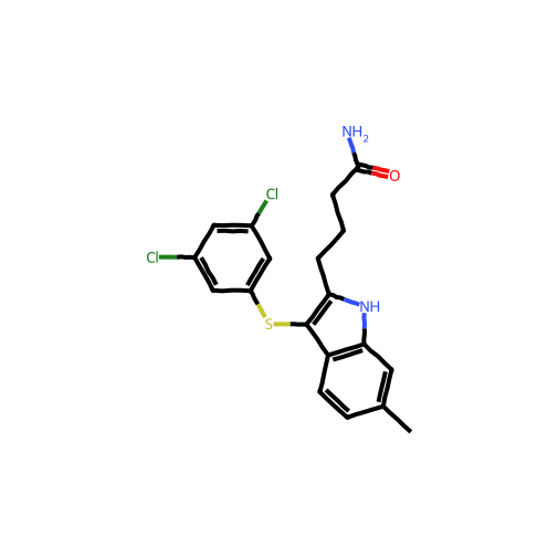 Cc1ccc2c(Sc3cc(Cl)cc(Cl)c3)c(CCCC(N)=O)[nH]c2c1